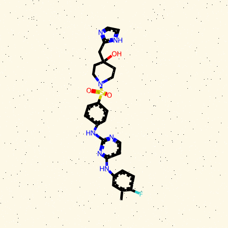 Cc1cc(Nc2ccnc(Nc3ccc(S(=O)(=O)N4CCC(O)(Cc5ncc[nH]5)CC4)cc3)n2)ccc1F